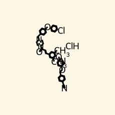 Cc1cc(/C=C/C(=O)N2CCN(Cc3ccc(Oc4ccc(Cl)cc4)cc3)CC2)cc(C)c1Oc1ccc(OCc2ccc(C#N)cc2)cn1.Cl